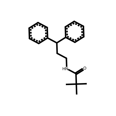 CC(C)(C)C(=O)NCCC(c1ccccc1)c1ccccc1